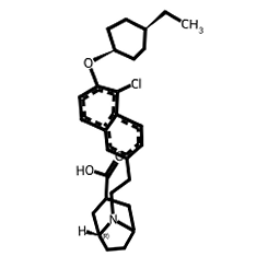 CC[C@H]1CC[C@@H](Oc2ccc3cc(CCN4C5CC[C@@H]4CC(C(=O)O)C5)ccc3c2Cl)CC1